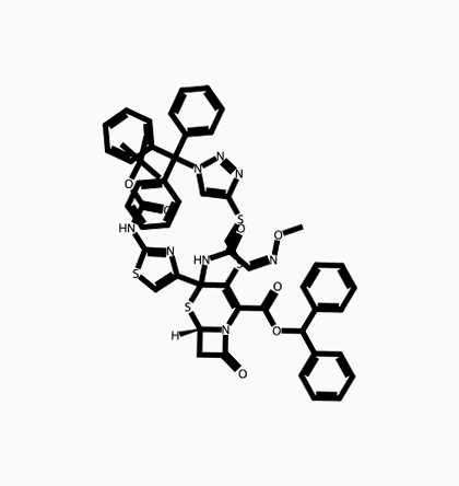 CO/N=C\C(=O)NC1(c2csc(NC(=O)OC(C)(C)C)n2)S[C@H]2CC(=O)N2C(C(=O)OC(c2ccccc2)c2ccccc2)=C1SCSc1cn(C(c2ccccc2)(c2ccccc2)c2ccccc2)nn1